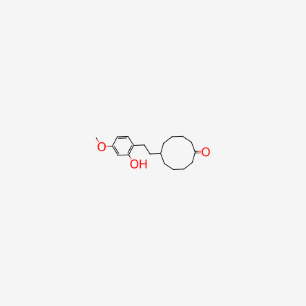 COc1ccc(CCC2CCCCC(=O)CCCC2)c(O)c1